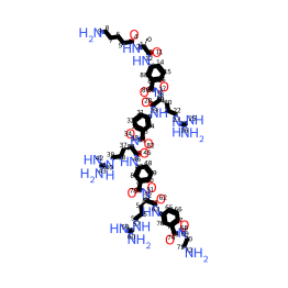 C[C@@H](NC(=O)CCCCN)C(=O)Nc1ccc2on([C@H](CCCNC(=N)N)C(=O)Nc3ccc4on([C@H](CCCNC(=N)N)C(=O)Nc5ccc6on([C@H](CCCNC(=N)N)C(=O)Nc7ccc8on(CCN)c(=O)c8c7)c(=O)c6c5)c(=O)c4c3)c(=O)c2c1